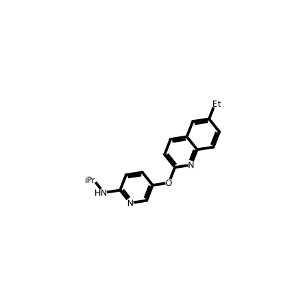 CCc1ccc2nc(Oc3ccc(NC(C)C)nc3)ccc2c1